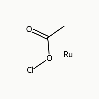 CC(=O)OCl.[Ru]